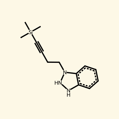 C[Si](C)(C)C#CCCN1NNc2ccccc21